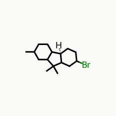 CC1CCC2C(C1)C(C)(C)C1CC(Br)CC[C@H]21